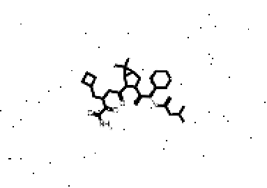 C=C(CC(C)C)C[C@H](C(=C)C1CC2C(C1C(=O)CC(CC1CCC1)C(=O)C(N)=O)C2(C)C)C1CCCCC1